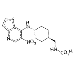 O=C(O)NC[C@H]1CC[C@H](Nc2c([N+](=O)[O-])cnc3ccsc23)CC1